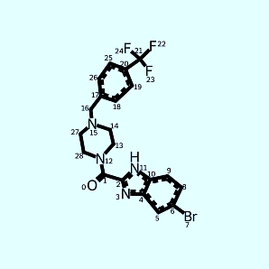 O=C(c1nc2cc(Br)ccc2[nH]1)N1CCN(Cc2ccc(C(F)(F)F)cc2)CC1